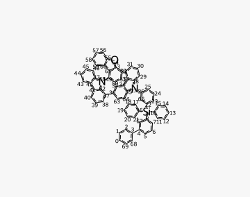 c1ccc(-c2cccc([Si](c3ccccc3)(c3ccccc3)c3cccc(-n4c5ccccc5c5cc(-c6cccc7c8ccccc8n(-c8cccc9oc%10ccccc%10c89)c67)ccc54)c3)c2)cc1